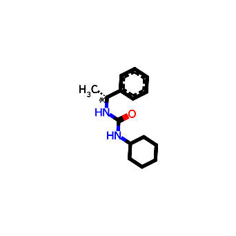 C[C@@H](NC(=O)NC1CCCCC1)c1ccccc1